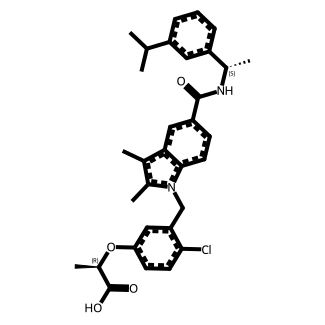 Cc1c(C)n(Cc2cc(O[C@H](C)C(=O)O)ccc2Cl)c2ccc(C(=O)N[C@@H](C)c3cccc(C(C)C)c3)cc12